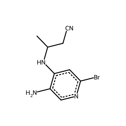 CC(CC#N)Nc1cc(Br)ncc1N